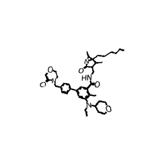 CCCCCCC12C(C)C(CNC(=O)c3cc(-c4ccc(CN5CCOCC5=O)cc4)cc(N(CC)C4CCOCC4)c3C)C(=O)N1C2C